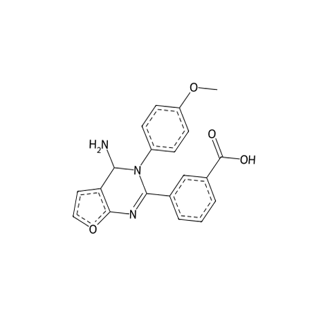 COc1ccc(N2C(c3cccc(C(=O)O)c3)=Nc3occc3C2N)cc1